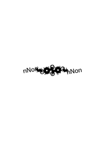 CCCCCCCCCC=COc1ccc(C(=O)C(=O)c2ccc(OC=CCCCCCCCCC)cc2)cc1